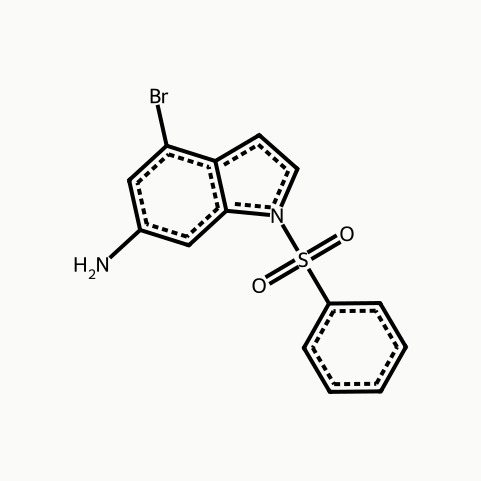 Nc1cc(Br)c2ccn(S(=O)(=O)c3ccccc3)c2c1